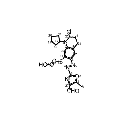 Cc1oc(N=Nc2cc3c(cc2SOOO)N(C2CCCC2)C(Cl)CC3)nc1C=O